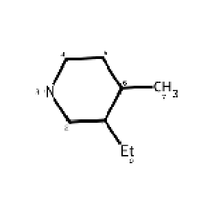 CCC1C[N]CCC1C